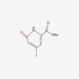 COC(=O)c1cc(F)cc(=O)[nH]1